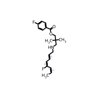 C\C=C/C(F)=C\C=C\CNCC(C)(C)COC(=O)c1ccc(F)cc1